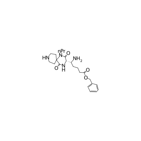 CCCN1C(=O)[C@H](C(N)CCCC(=O)OCc2ccccc2)NC(=O)C12CCNCC2